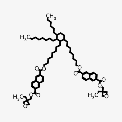 CCCCCCCCC1C(CCCCCC)CCC(CCCCCCCCOC(=O)c2ccc3cc(C(=O)OCC4(CC)COC4)ccc3c2)C1CCCCCCCCOC(=O)c1ccc2cc(C(=O)OCC3(CC)COC3)ccc2c1